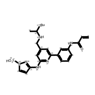 C=CC(=O)Nc1cccc(-c2cc(CNC(C)C(C)(C)C)cc(Nc3ccn(C(=O)O)n3)n2)c1